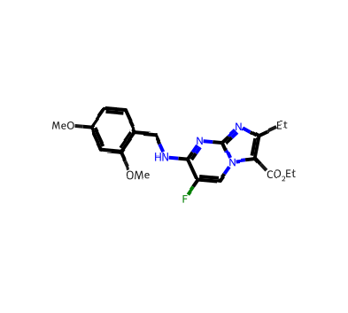 CCOC(=O)c1c(CC)nc2nc(NCc3ccc(OC)cc3OC)c(F)cn12